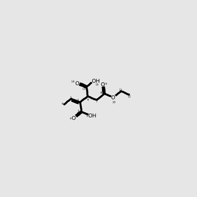 CC=C(C(=O)O)C(CC(=O)OCC)C(=O)O